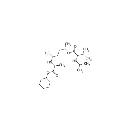 CC(C)NC(C(=O)OC(C)CCC(C)N[C@@H](C)C(=O)OC1CCCCC1)C(C)C